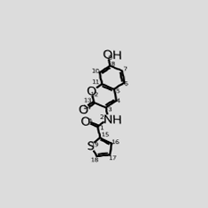 O=C(Nc1cc2ccc(O)cc2oc1=O)c1cccs1